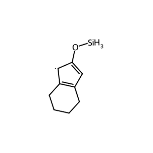 [SiH3]OC1=CC2=C([CH]1)CCCC2